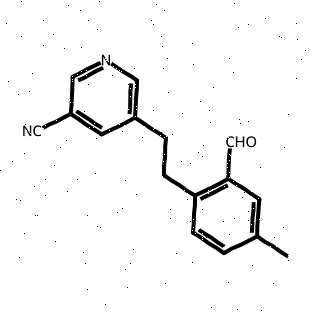 Cc1ccc(CCc2cncc(C#N)c2)c(C=O)c1